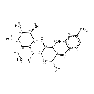 O=[N+]([O-])c1ccc(O[C@@H]2[C@@H](O)[C@H](O[C@@H]3O[C@H](CO)[C@H](O)[C@H](O)[C@H]3O)[C@@H](CO)O[C@H]2O)cc1